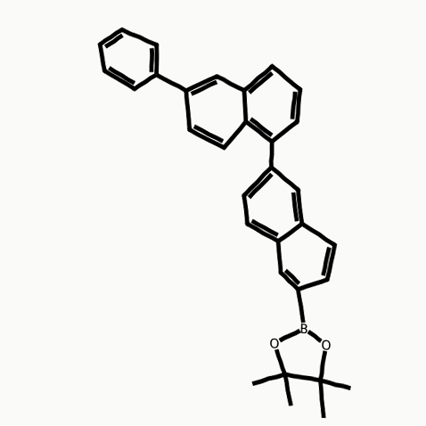 CC1(C)OB(c2ccc3cc(-c4cccc5cc(-c6ccccc6)ccc45)ccc3c2)OC1(C)C